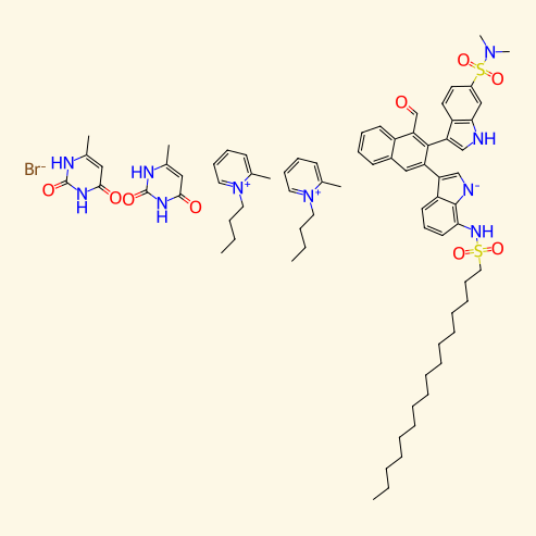 CCCCCCCCCCCCCCCCS(=O)(=O)Nc1cccc2c(-c3cc4ccccc4c(C=O)c3-c3c[nH]c4cc(S(=O)(=O)N(C)C)ccc34)c[n-]c12.CCCC[n+]1ccccc1C.CCCC[n+]1ccccc1C.Cc1cc(=O)[nH]c(=O)[nH]1.Cc1cc(=O)[nH]c(=O)[nH]1.[Br-]